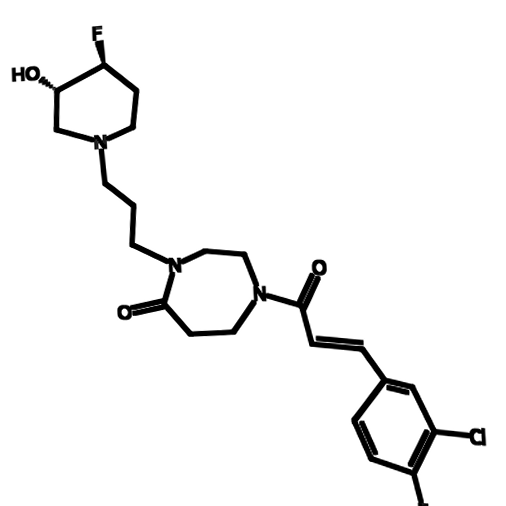 O=C(/C=C/c1ccc(F)c(Cl)c1)N1CCC(=O)N(CCCN2CC[C@H](F)[C@@H](O)C2)CC1